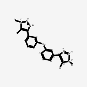 Cc1c(-c2cccc(Oc3cccc(-c4nnn(C)c4C)c3)c2)nnn1C